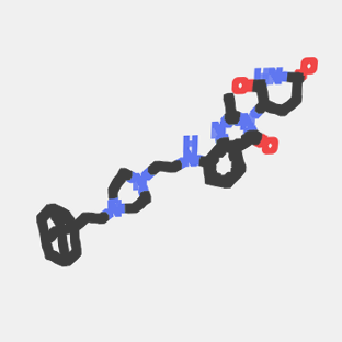 Cc1nc2c(NCCN3CCN(CCC45CC6CC(CC(C6)C4)C5)CC3)cccc2c(=O)n1C1CCC(=O)NC1=O